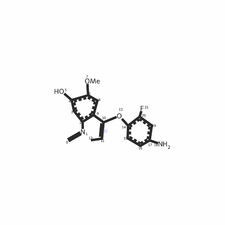 C=Nc1cc(O)c(OC)cc1/C(=C\C)Oc1ccc(N)cc1F